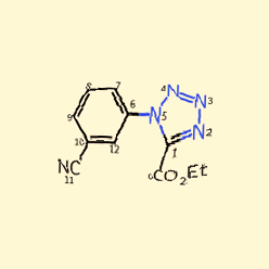 CCOC(=O)c1nnnn1-c1cccc(C#N)c1